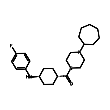 O=C([C@H]1CC[C@H](Nc2ccc(F)cc2)CC1)N1CCN(C2CCCCCC2)CC1